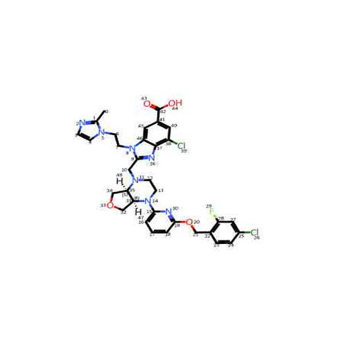 Cc1nccn1CCn1c(CN2CCN(c3cccc(OCc4ccc(Cl)cc4F)n3)[C@H]3COC[C@H]32)nc2c(Cl)cc(C(=O)O)cc21